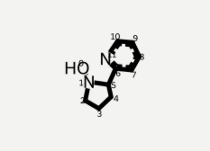 ON1CCCC1c1ccccn1